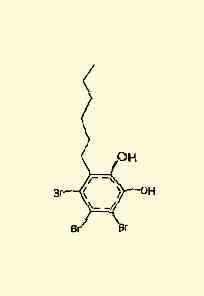 CCCCCCc1c(O)c(O)c(Br)c(Br)c1Br